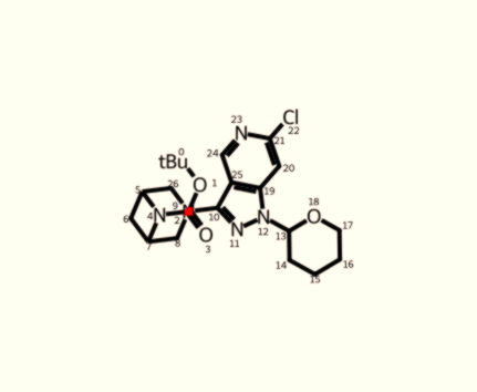 CC(C)(C)OC(=O)N1C2CC1CN(c1nn(C3CCCCO3)c3cc(Cl)ncc13)C2